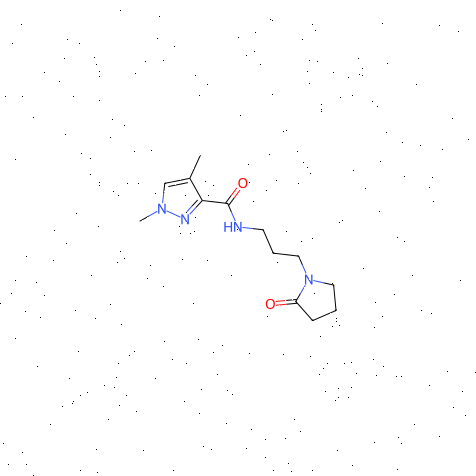 Cc1cn(C)nc1C(=O)NCCCN1CCCC1=O